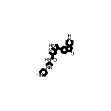 O=C(Nc1cnn(C2CCNCC2)c1)c1cnc2[nH]cc(-c3ccc4c(c3)C3(CCNCC3)CC4=O)c2c1